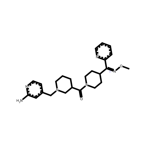 CO/N=C(\c1ccccn1)C1CCN(C(=O)C2CCCN(Cc3ccnc(N)c3)C2)CC1